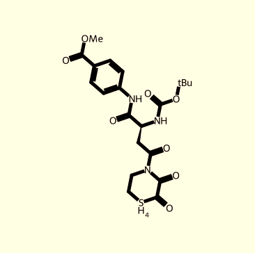 COC(=O)c1ccc(NC(=O)[C@H](CC(=O)N2CC[SH4]C(=O)C2=O)NC(=O)OC(C)(C)C)cc1